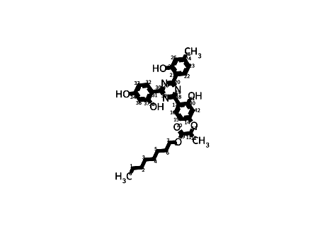 CCCCCCCCOC(=O)C(C)Oc1ccc(-c2nc(-c3ccc(C)cc3O)nc(-c3ccc(O)cc3O)n2)c(O)c1